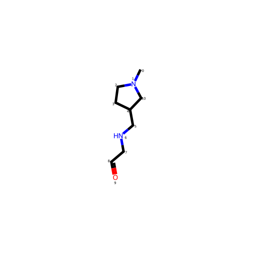 CN1CCC(CNCC=O)C1